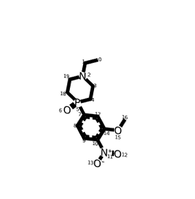 CCN1CCP(=O)(c2ccc([N+](=O)[O-])c(OC)c2)CC1